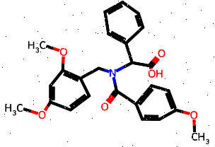 COc1ccc(C(=O)N(Cc2ccc(OC)cc2OC)C(C(=O)O)c2ccccc2)cc1